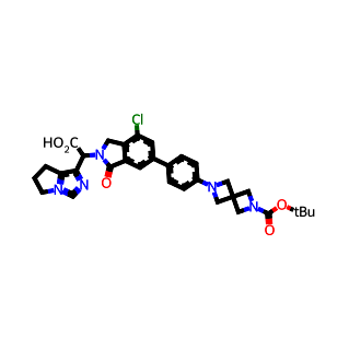 CC(C)(C)OC(=O)N1CC2(C1)CN(c1ccc(-c3cc(Cl)c4c(c3)C(=O)N(C(C(=O)O)c3ncn5c3CCC5)C4)cc1)C2